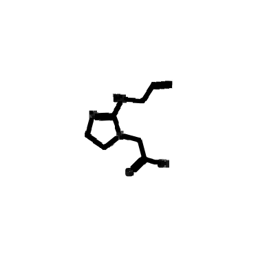 C=CCNC1=NCCN1CC(=O)O